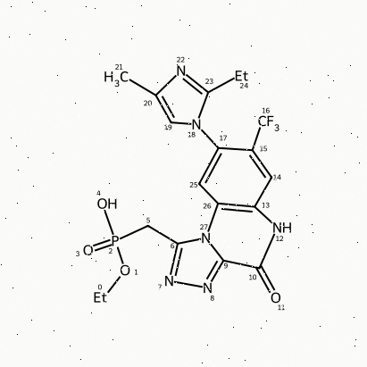 CCOP(=O)(O)Cc1nnc2c(=O)[nH]c3cc(C(F)(F)F)c(-n4cc(C)nc4CC)cc3n12